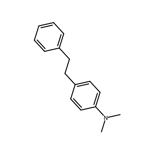 CN(C)c1ccc(CCc2ccccc2)cc1